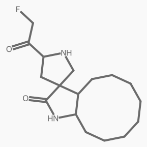 O=C(CF)C1CC2(CN1)C(=O)NC1CCCCCCCCC12